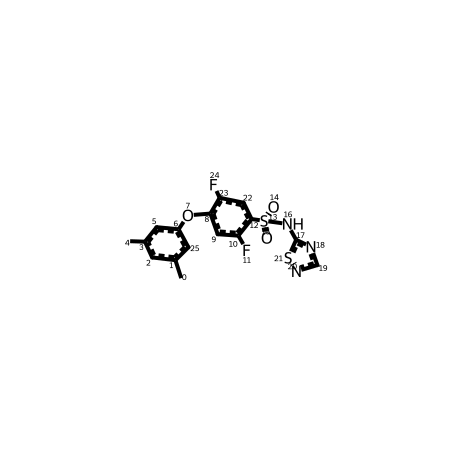 Cc1cc(C)cc(Oc2cc(F)c(S(=O)(=O)Nc3ncns3)cc2F)c1